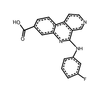 O=C(O)c1ccc2c(c1)nc(Nc1cccc(F)c1)c1cnccc12